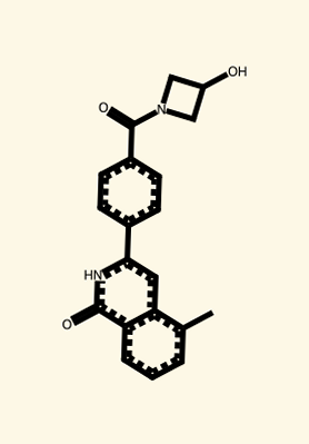 Cc1cccc2c(=O)[nH]c(-c3ccc(C(=O)N4CC(O)C4)cc3)cc12